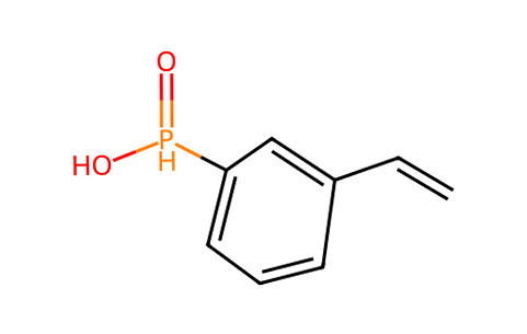 C=Cc1cccc([PH](=O)O)c1